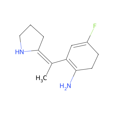 C/C(C1=C(N)CCC(F)=C1)=C1/CCCN1